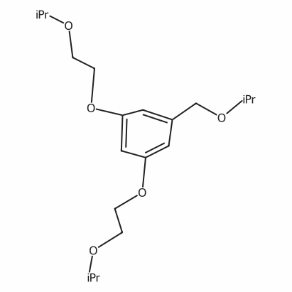 CC(C)OCCOc1cc(COC(C)C)cc(OCCOC(C)C)c1